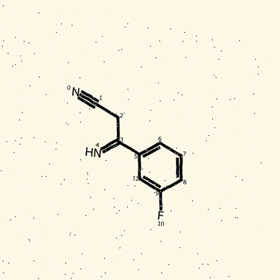 N#CCC(=N)c1cccc(F)c1